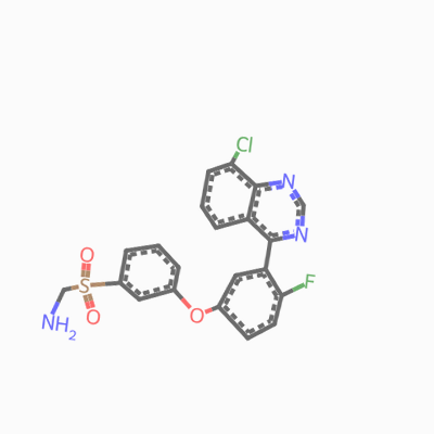 NCS(=O)(=O)c1cccc(Oc2ccc(F)c(-c3ncnc4c(Cl)cccc34)c2)c1